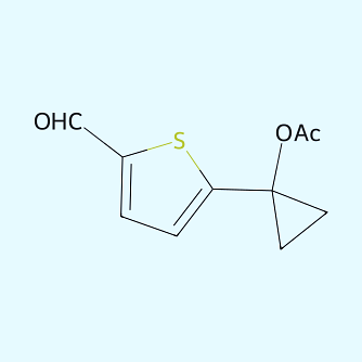 CC(=O)OC1(c2ccc(C=O)s2)CC1